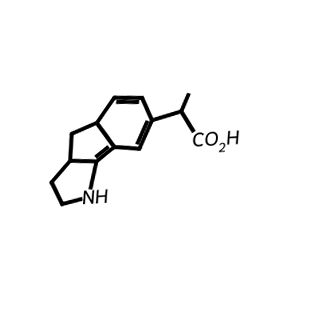 CC(C(=O)O)C1=CC2=C3NCCC3CC2C=C1